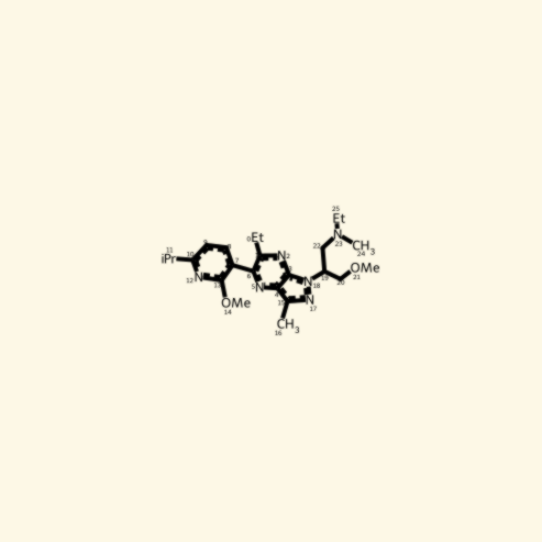 CCc1nc2c(nc1-c1ccc(C(C)C)nc1OC)c(C)nn2C(COC)CN(C)CC